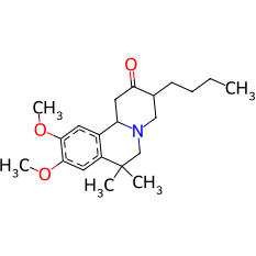 CCCCC1CN2CC(C)(C)c3cc(OC)c(OC)cc3C2CC1=O